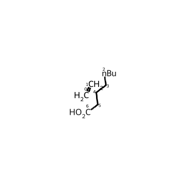 C=C.CCCCCCCC(=O)O